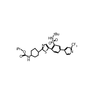 CC(C)OC(=O)NC1CCC(c2ncc(-c3ccc(-c4ccnc(C(F)(F)F)c4)cc3S(=O)(=O)NC(C)(C)C)s2)CC1